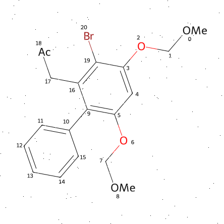 COCOc1cc(OCOC)c(-c2ccccc2)c(CC(C)=O)c1Br